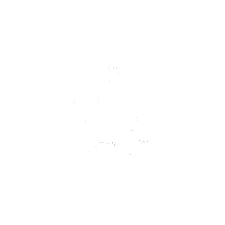 CCOc1cc2c(cc1I)C(=O)N1CCNC(=O)C21